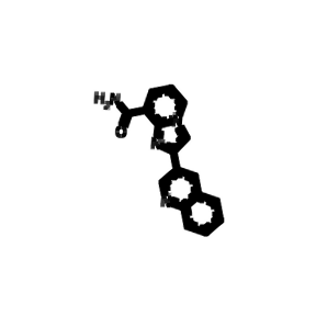 NC(=O)c1cccn2cc(-c3cnc4ccccc4c3)nc12